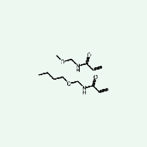 C=CC(=O)NCOC.C=CC(=O)NCOCCCC